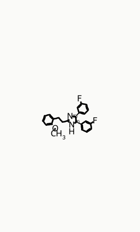 COc1ccccc1CCC1=N[C@@H](c2cccc(F)c2)[C@@H](c2cccc(F)c2)N1